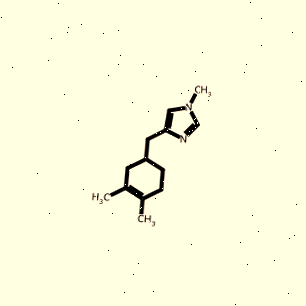 CC1=C(C)CC(Cc2cn(C)cn2)CC1